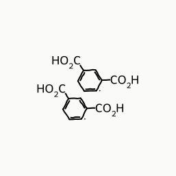 O=C(O)c1[c]ccc(C(=O)O)c1.O=C(O)c1[c]ccc(C(=O)O)c1